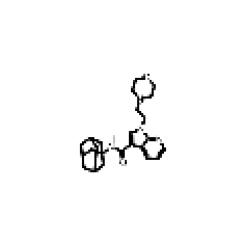 O=C(NC12CC3CC(CC(C3)C1)C2)c1cn(CCN2CCOCC2)c2ncccc12